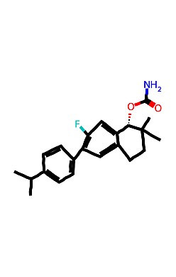 CC(C)c1ccc(-c2cc3c(cc2F)[C@H](OC(N)=O)C(C)(C)CC3)cc1